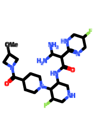 COC1CN(C(=O)C2CCN(C3C(F)CNCC3NC(=O)C(C3=NCC(F)CN3)C(N)N)CC2)C1